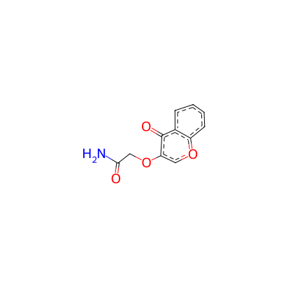 NC(=O)COc1coc2ccccc2c1=O